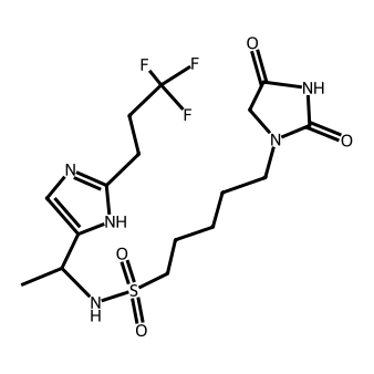 CC(NS(=O)(=O)CCCCCN1CC(=O)NC1=O)c1cnc(CCC(F)(F)F)[nH]1